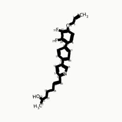 C=CCOc1ccc(-c2ccc(-c3ccc(C=CCCCC(C)O)nc3)cc2)c(F)c1F